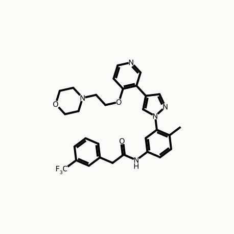 Cc1ccc(NC(=O)Cc2cccc(C(F)(F)F)c2)cc1-n1cc(-c2cnccc2OCCN2CCOCC2)cn1